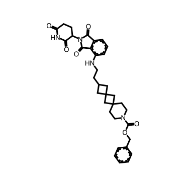 O=C1CCC(N2C(=O)c3cccc(NCCC4CC5(C4)CC4(CCN(C(=O)OCc6ccccc6)CC4)C5)c3C2=O)C(=O)N1